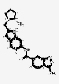 Cc1noc2cc(C(=O)Nc3cc4[nH]c(CN5CCC[C@@H]5C)cc4cn3)ccc12